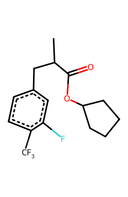 CC(Cc1ccc(C(F)(F)F)c(F)c1)C(=O)OC1CCCC1